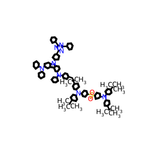 CC(C)(C)c1ccc(N(c2ccc(C(C)(C)C)cc2)c2ccc(S(=O)(=O)c3ccc(N(c4ccc(C(C)(C)C)cc4)c4ccc(C(C)(C)Cc5ccc(N(c6ccccc6)c6ccc7c(c6)c6cc(N(c8ccccc8)c8ccccc8)ccc6n7-c6ccc(-c7nc(-c8ccccc8)nc(-c8ccccc8)n7)cc6)cc5)cc4)cc3)cc2)cc1